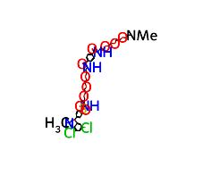 CNCCOCCOCCOCCNC(=O)c1ccc(C(=O)NCCOCCOCCOCCNS(=O)(=O)c2ccc(C3CN(C)Cc4c(Cl)cc(Cl)cc43)cc2)cc1